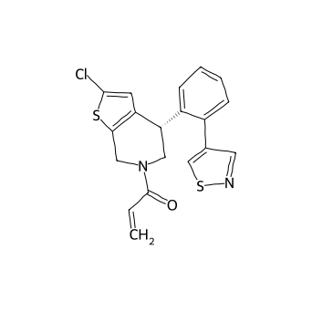 C=CC(=O)N1Cc2sc(Cl)cc2[C@H](c2ccccc2-c2cnsc2)C1